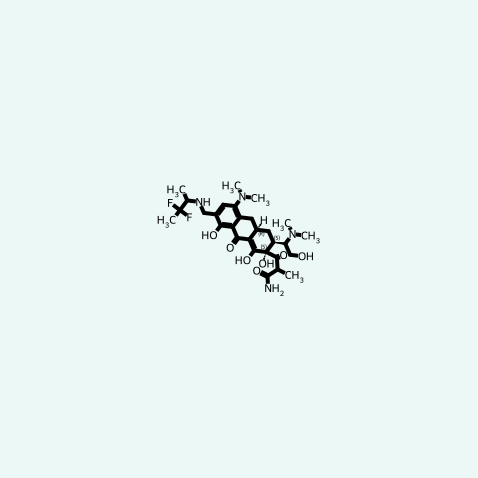 CC(C(N)=O)C(=O)[C@@]1(O)C(O)=C2C(=O)c3c(O)c(CNC(C)C(C)(F)F)cc(N(C)C)c3C[C@H]2C[C@H]1C(CO)N(C)C